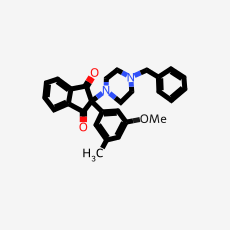 COc1cc(C)cc(C2(N3CCN(Cc4ccccc4)CC3)C(=O)c3ccccc3C2=O)c1